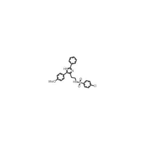 COc1ccc(-c2[nH]c(-c3ccccc3)nc2CCNS(=O)(=O)c2ccc(Cl)cc2)cc1